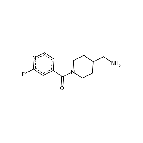 NCC1CCN(C(=O)c2ccnc(F)c2)CC1